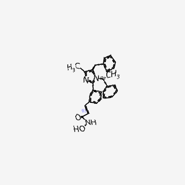 Cc1nc(-c2cccc(/C=C/C(=O)NO)c2)n([C@H](C)c2ccccc2)c1Cc1ccccc1